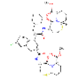 COC(=O)[C@@H]1CCCC2SCC[C@H](NC(=O)[C@H](CC[C@H](CC3CCCCC3)C(=O)N[C@H]3CCS[C@H]4CCC[C@@H](C(=O)OC)N4C3=O)Cc3cccc(Cl)c3)C(=O)N21